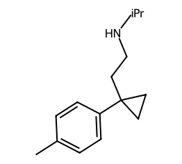 Cc1ccc(C2(CCNC(C)C)CC2)cc1